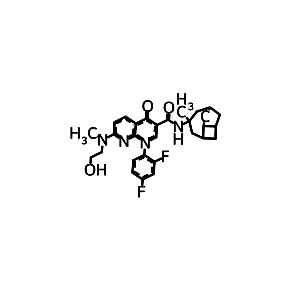 CN(CCO)c1ccc2c(=O)c(C(=O)NC3(C)CC4CC5CC(C3)C5C4)cn(-c3ccc(F)cc3F)c2n1